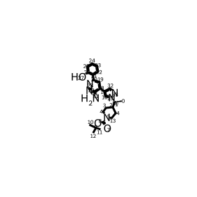 C[C@@H](C1CCN(C(=O)OC(C)(C)C)CC1)n1cc(-c2cc(-c3ccccc3O)nnc2N)cn1